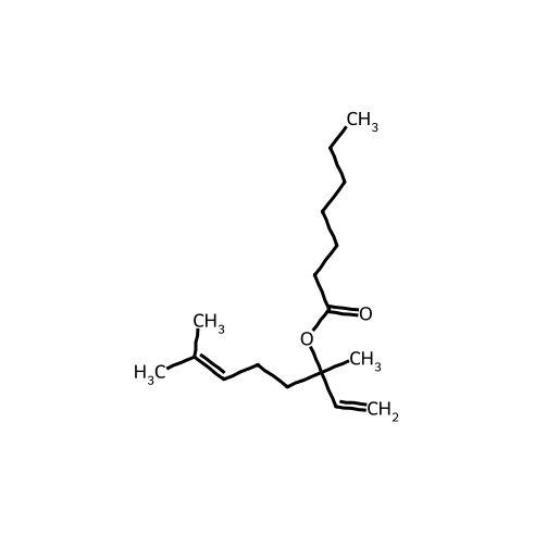 C=CC(C)(CCC=C(C)C)OC(=O)CCCCCC